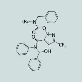 CC(C)(C)N(Cc1ccccc1)C(=O)On1nc(C(F)(F)F)cc1C(=O)N(c1ccccc1)C(O)c1ccccc1